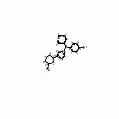 Fc1ccc(C(c2ccccc2)n2cnc(C3CCCC(Br)C3)c2)cc1